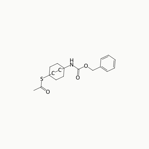 CC(=O)SC12CCC(NC(=O)OCc3ccccc3)(CC1)CC2